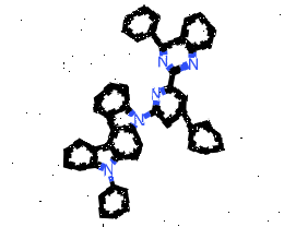 c1ccc(-c2cc(-c3nc(-c4ccccc4)c4ccccc4n3)nc(-n3c4ccccc4c4c5c6ccccc6n(-c6ccccc6)c5ccc43)c2)cc1